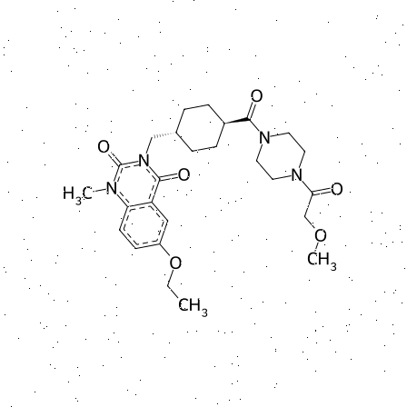 CCOc1ccc2c(c1)c(=O)n(C[C@H]1CC[C@H](C(=O)N3CCN(C(=O)COC)CC3)CC1)c(=O)n2C